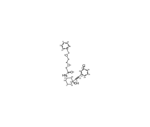 O=C(COCCOCc1ccccc1)N[C@H]1CCC[C@@](O)(C#Cc2cccc(Cl)c2)C1